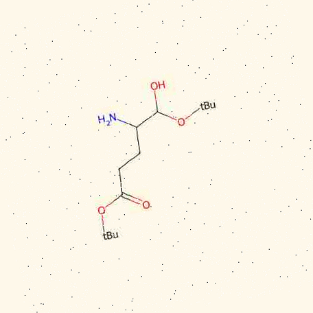 CC(C)(C)OC(=O)CCC(N)C(O)OC(C)(C)C